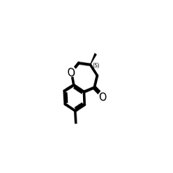 Cc1ccc2c(c1)C(=O)C[C@H](C)CO2